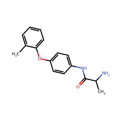 Cc1ccccc1Oc1ccc(NC(=O)C(C)N)cc1